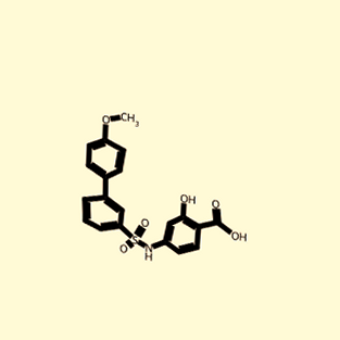 COc1ccc(-c2cccc(S(=O)(=O)Nc3ccc(C(=O)O)c(O)c3)c2)cc1